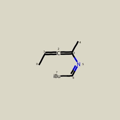 CC=C=C(C)/N=C\C(C)CC